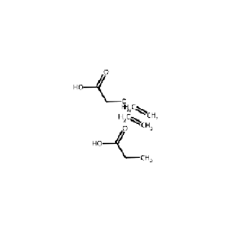 C=C.C=C.CCC(=O)O.CCC(=O)O